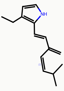 C=C(C=Cc1[nH]ccc1CC)/C=C\C(C)C